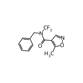 Cc1oncc1C(=O)N(Cc1ccccc1)C(F)(F)F